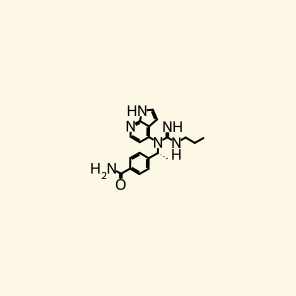 CCCNC(=N)N(c1ccnc2[nH]ccc12)[C@H](C)c1ccc(C(N)=O)cc1